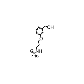 CS(=O)(=O)NCCCOc1cc[c]c(CO)c1